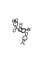 CC(C)N1CCC(Oc2cc3cc(C(=O)N4CCS(=O)(=O)CC4)[nH]c3cc2Br)CC1